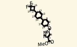 COC(=O)c1cn(Oc2ccc(-c3ccc(C4CC(F)(F)C4)cc3)cc2)nn1